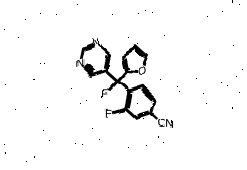 N#Cc1ccc(C(F)(c2cncnc2)c2ccco2)c(F)c1